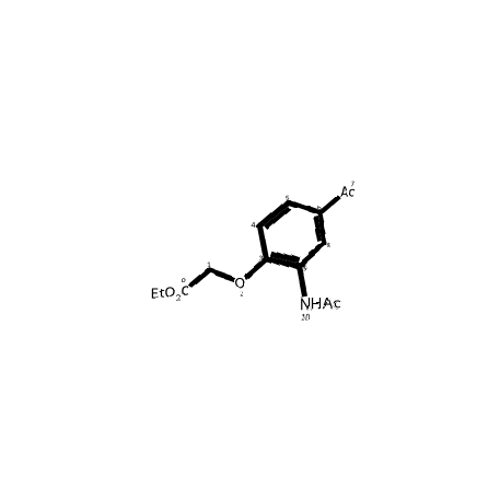 CCOC(=O)COc1ccc(C(C)=O)cc1NC(C)=O